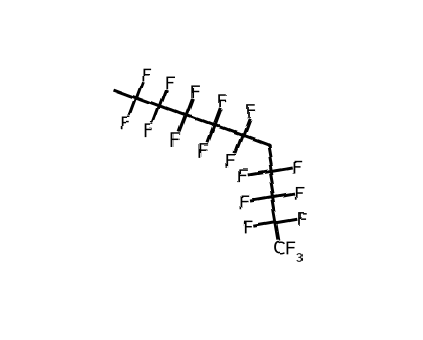 CC(F)(F)C(F)(F)C(F)(F)C(F)(F)C(F)(F)CC(F)(F)C(F)(F)C(F)(F)C(F)(F)F